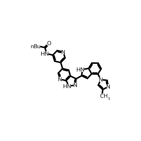 CCCCC(=O)Nc1cncc(-c2cnc3[nH]nc(-c4cc5c(-n6cnc(C)c6)cccc5[nH]4)c3c2)c1